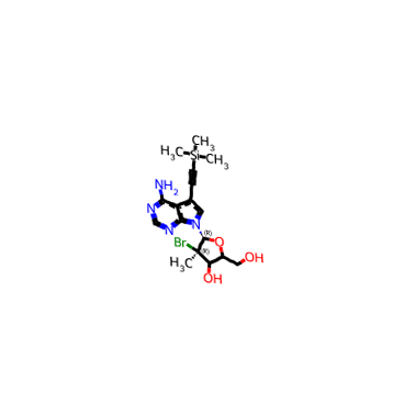 C[C@@]1(Br)C(O)C(CO)O[C@H]1n1cc(C#C[Si](C)(C)C)c2c(N)ncnc21